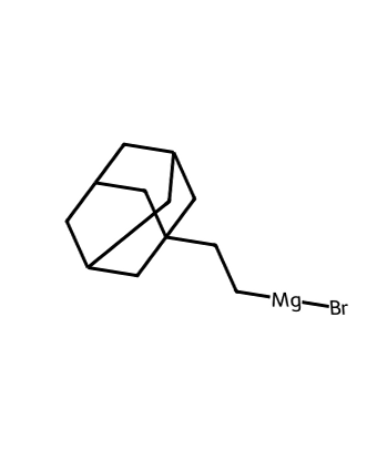 [Br][Mg][CH2]CC12CC3CC(CC(C3)C1)C2